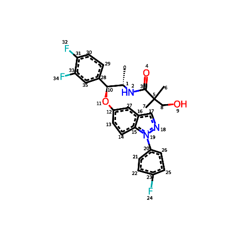 C[C@H](NC(=O)C(C)(C)CO)[C@@H](Oc1ccc2c(cnn2-c2ccc(F)cc2)c1)c1ccc(F)c(F)c1